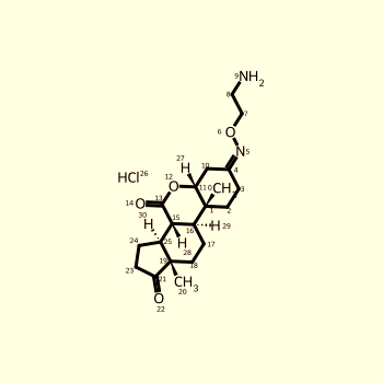 C[C@]12CC/C(=N/OCCN)C[C@H]1OC(=O)[C@@H]1[C@@H]2CC[C@]2(C)C(=O)CC[C@@H]12.Cl